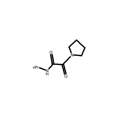 CCCNC(=O)C(=O)N1CCCC1